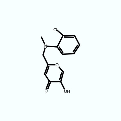 CN(Cc1cc(=O)c(O)co1)c1ccccc1Cl